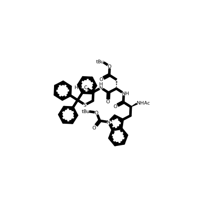 CC(=O)N[C@@H](Cc1cn(C(=O)OC(C)(C)C)c2ccccc12)C(=O)N[C@@H](CC(=O)OC(C)(C)C)C(=O)N[C@@H](CSC(c1ccccc1)(c1ccccc1)c1ccccc1)C(=O)O